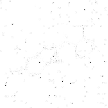 CN(C)c1ccccc1[S+]([O-])c1nc2cc([N+](=O)[O-])ccc2[nH]1